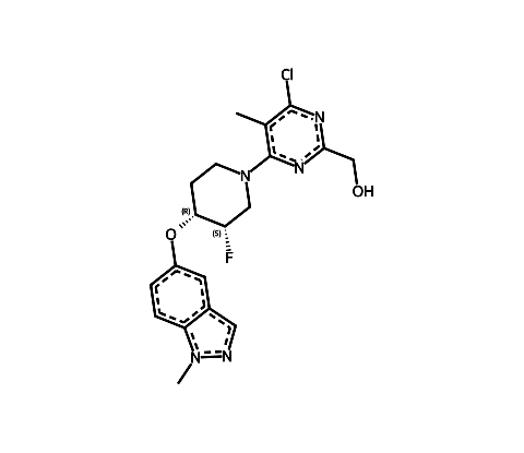 Cc1c(Cl)nc(CO)nc1N1CC[C@@H](Oc2ccc3c(cnn3C)c2)[C@@H](F)C1